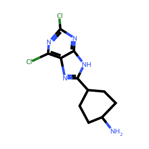 NC1CCC(c2nc3c(Cl)nc(Cl)nc3[nH]2)CC1